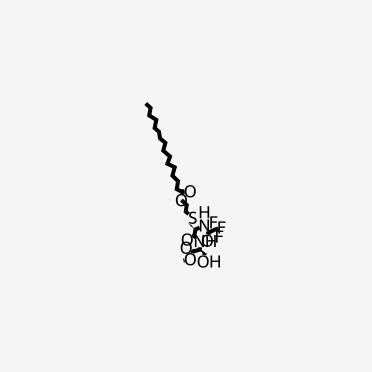 CCCCCCCCCCCCCCCC(=O)OCCSC[C@H](NC(=O)C(F)(F)F)C(=O)N[C@@H](CO)C(=O)OC